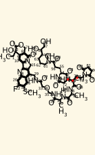 CC[C@@]1(O)C(=O)OCc2c1cc1n(c2=O)Cc2c-1nc1cc(F)c(SC)cc1c2CNC(=O)COCNC(=O)[C@H](C)NC(=O)[C@H](C)NC(=O)[C@H](C)NC(=O)[C@H](CCC(=O)N(C)CCCC[C@H](O)CO)NC(=O)CCCCCN1C(=O)C=CC1=O